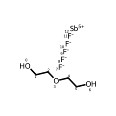 OCCOCCO.[F-].[F-].[F-].[F-].[F-].[Sb+5]